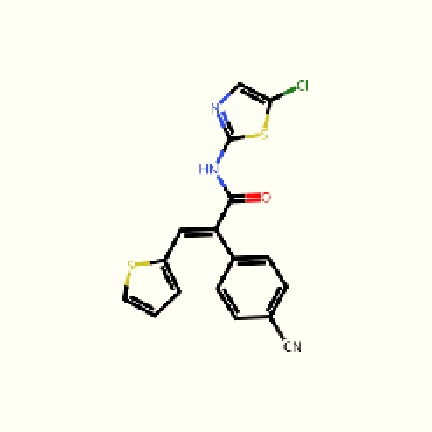 N#Cc1ccc(/C(=C\c2cccs2)C(=O)Nc2ncc(Cl)s2)cc1